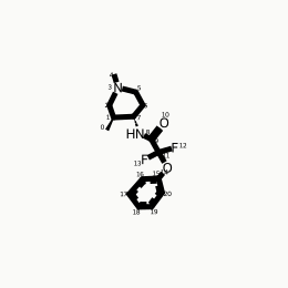 C[C@H]1CN(C)CC[C@@H]1NC(=O)C(F)(F)Oc1ccccc1